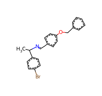 CC(N=Cc1ccc(OCc2ccccc2)cc1)c1ccc(Br)cc1